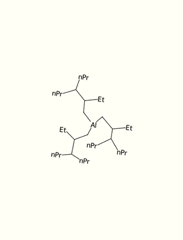 CCCC(CCC)C(CC)[CH2][Al]([CH2]C(CC)C(CCC)CCC)[CH2]C(CC)C(CCC)CCC